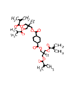 C=C(C)C(=O)OCC(CC)(COC(=O)C(=C)C)COC(=O)C1CCC(C(=O)OCC(CC)(COC(=O)C(=C)C)COC(=O)C(=C)C)CC1